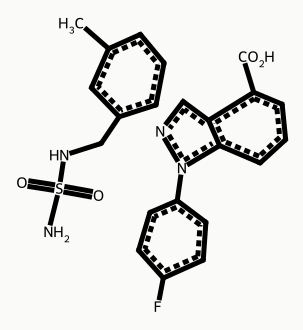 Cc1cccc(CNS(N)(=O)=O)c1.O=C(O)c1cccc2c1cnn2-c1ccc(F)cc1